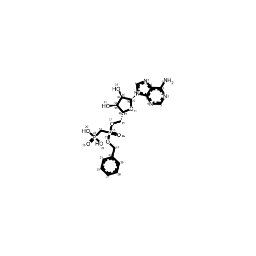 Nc1ncnc2c1ncn2[C@@H]1O[C@H](COP(=O)(CP(=O)(O)O)OCc2ccccc2)[C@@H](O)[C@H]1O